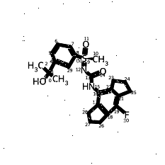 CC(C)(O)c1cccc([S@](C)(=O)=NC(=O)Nc2c3c(c(F)c4c2CCC4)CCC3)c1